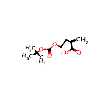 C=C(CCOC(=O)OC(C)(C)C)C(=O)O